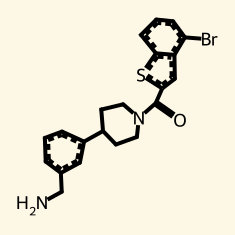 NCc1cccc(C2CCN(C(=O)c3cc4c(Br)cccc4s3)CC2)c1